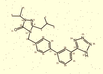 CC(C)Cc1nn(C(C)C)c(=O)n1Cc1ccc(-c2cccc(-c3nnn[nH]3)c2)cc1